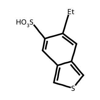 CCc1cc2cscc2cc1S(=O)(=O)O